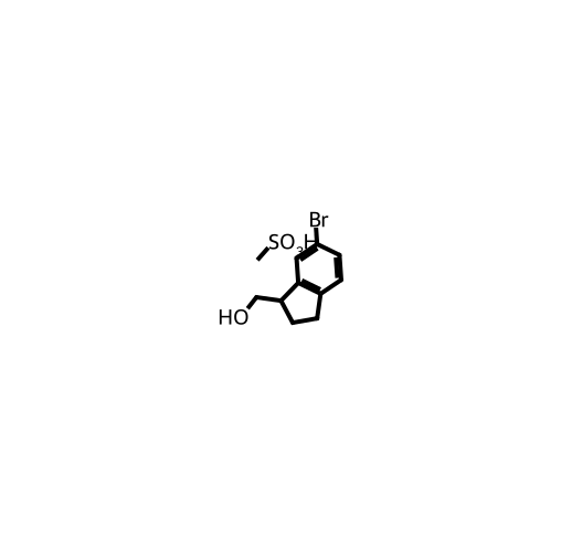 CS(=O)(=O)O.OCC1CCc2ccc(Br)cc21